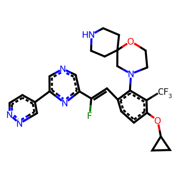 F/C(=C\c1ccc(OC2CC2)c(C(F)(F)F)c1N1CCOC2(CCNCC2)C1)c1cncc(-c2ccnnc2)n1